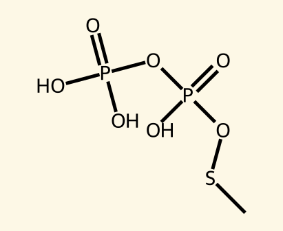 CSOP(=O)(O)OP(=O)(O)O